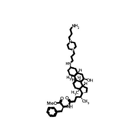 COC(=O)[C@H](Cc1ccccc1)NC(=O)CC[C@@H](C)[C@H]1CC[C@H]2[C@@H]3[C@H](O)C[C@@H]4C[C@@H](NCCCN5CCN(CCCN)CC5)CC[C@]4(C)[C@H]3CC[C@]12C